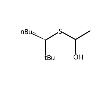 CCCC[C@H](SC(C)O)C(C)(C)C